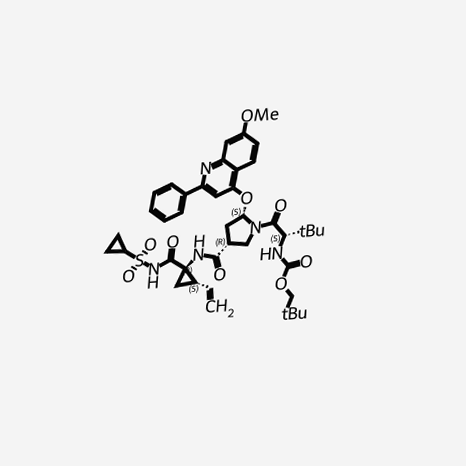 C=C[C@@H]1C[C@]1(NC(=O)[C@@H]1C[C@H](Oc2cc(-c3ccccc3)nc3cc(OC)ccc23)N(C(=O)[C@@H](NC(=O)OCC(C)(C)C)C(C)(C)C)C1)C(=O)NS(=O)(=O)C1CC1